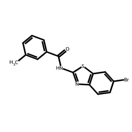 Cc1cccc(C(=O)Nc2nc3ccc(Br)cc3s2)c1